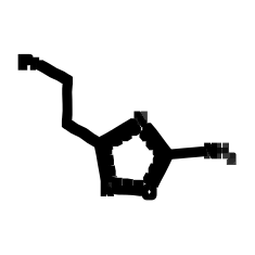 CC(C)CCc1noc(N)n1